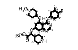 CN1CCC(Oc2cc(OC(C(=O)OC(C)(C)C)C3CCNCC3)cc3ncnc(Nc4ccc(F)c(Cl)c4)c23)CC1